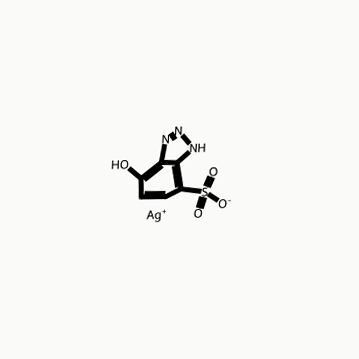 O=S(=O)([O-])c1ccc(O)c2nn[nH]c12.[Ag+]